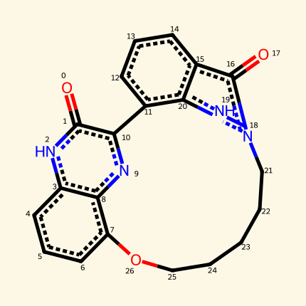 O=c1[nH]c2cccc3c2nc1-c1cccc2c(=O)n([nH]c12)CCCCCO3